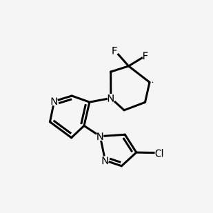 FC1(F)[CH]CCN(c2cnccc2-n2cc(Cl)cn2)C1